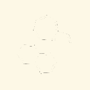 O=CC1=CC=CC=CN1.c1cnc2cccnc2c1